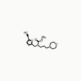 C#Cc1ccc(CN(CCCN2CCOCC2)C(=O)OC(C)(C)C)o1